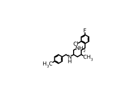 Cc1ccc(CNC(CN)CC(C)CCc2ccc(F)cc2Cl)cc1